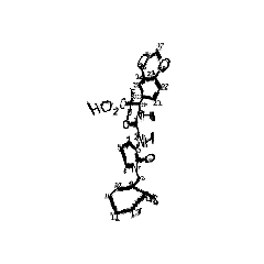 O=C(Nc1cccn(CC2=CC=CCC2=S)c1=O)NC(c1ccc2c(c1)OCO2)C(F)(F)C(=O)O